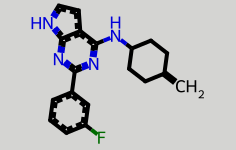 C=C1CCC(Nc2nc(-c3cccc(F)c3)nc3[nH]ccc23)CC1